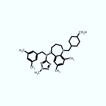 Cc1cc(CN(c2nnn(C)n2)[C@H]2CCCN(CC3CCC(C(=O)O)CC3)c3c(C)cc(C)cc32)cc(C(F)(F)F)c1